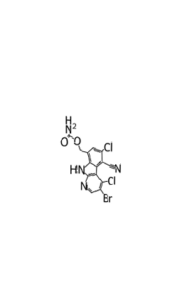 N#Cc1c(Cl)cc(COC(N)=O)c2[nH]c3ncc(Br)c(Cl)c3c12